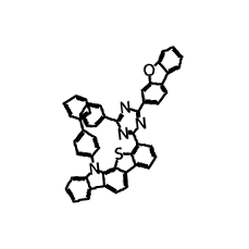 c1ccc(-c2ccc(-n3c4ccccc4c4ccc5c6cccc(-c7nc(-c8ccccc8)nc(-c8ccc9c(c8)oc8ccccc89)n7)c6sc5c43)cc2)cc1